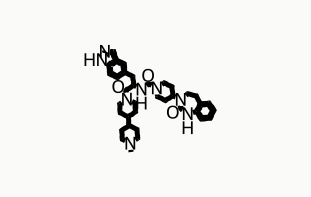 CN1CCC(C2CCN(C(=O)C(Cc3ccc4[nH]ncc4c3)NC(=O)N3CCC(N4CCc5ccccc5NC4=O)CC3)CC2)CC1